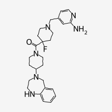 Nc1cc(CN2CCC(F)(C(=O)N3CCC(N4CCNc5ccccc5C4)CC3)CC2)ccn1